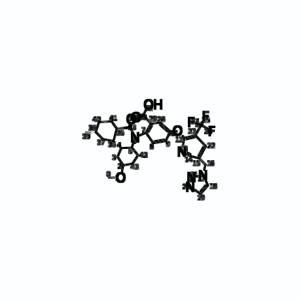 COC1CCC(N(c2ccc(Oc3ncc(Cn4ccnn4)cc3C(F)(F)F)cc2C(=O)O)C(=O)[C@H]2CC[C@H](C)CC2)CC1